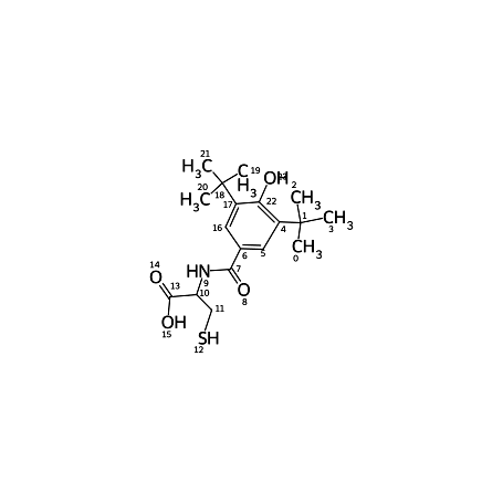 CC(C)(C)c1cc(C(=O)NC(CS)C(=O)O)cc(C(C)(C)C)c1O